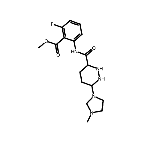 COC(=O)c1c(F)cccc1NC(=O)C1CCC(N2CCN(C)C2)NN1